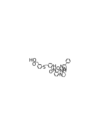 O=C(O)Cc1cccc(SCc2cccc(C(=O)Nc3cccc(N4CCCCC4)c3C(=O)Nc3ncc(-c4ccccc4)cn3)c2)c1